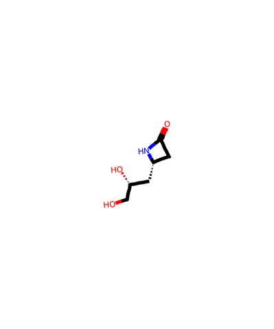 O=C1C[C@H](C[C@@H](O)CO)N1